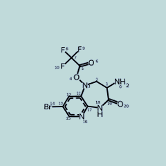 NC1CN(OC(=O)C(F)(F)F)c2cc(Br)cnc2NC1=O